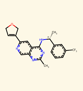 Cc1nc(N[C@H](C)c2cccc(C(F)(F)F)c2)c2cc(C3=CCOC3)ncc2n1